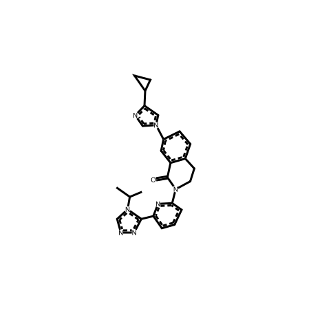 CC(C)n1cnnc1-c1cccc(N2CCc3ccc(-n4cnc(C5CC5)c4)cc3C2=O)n1